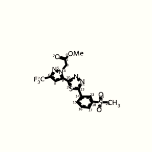 COC(=O)Cn1nc(C(F)(F)F)cc1-c1nnc(-c2cccc(S(C)(=O)=O)c2)s1